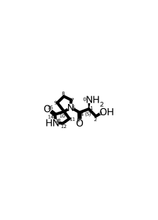 N[C@@H](CO)C(=O)N1CCCC12CCNC2=O